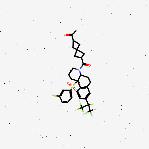 CC(=O)C1CC2(C1)CC(C(=O)N1CCCC3(S(=O)(=O)c4cccc(F)c4)c4ccc(C(F)(C(F)(F)F)C(F)(F)F)cc4CCC13)C2